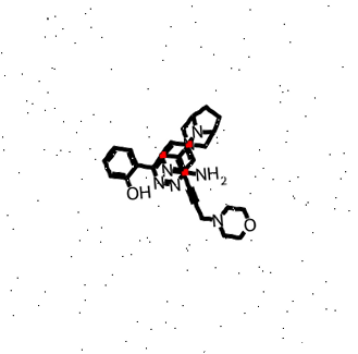 Nc1nnc(-c2ccccc2O)cc1N1CC2CCC(C1)N2c1ccnc(C#CCN2CCOCC2)c1